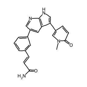 Cn1cc(-c2c[nH]c3ncc(-c4cccc(C=CC(N)=O)c4)cc23)ccc1=O